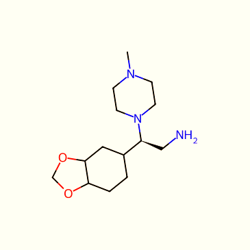 CN1CCN([C@@H](CN)C2CCC3OCOC3C2)CC1